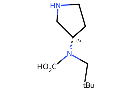 CC(C)(C)CN(C(=O)O)[C@H]1CCNC1